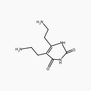 NCCc1[nH]c(=O)[nH]c(=O)c1CCN